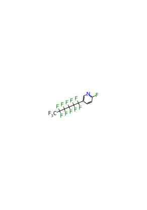 Fc1ccc(C(F)(F)C(F)(F)C(F)(F)C(F)(F)C(F)(F)C(F)(F)F)cn1